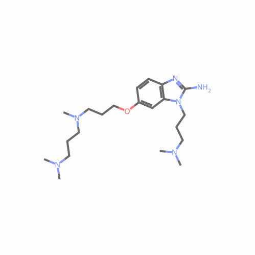 CN(C)CCCN(C)CCCOc1ccc2nc(N)n(CCCN(C)C)c2c1